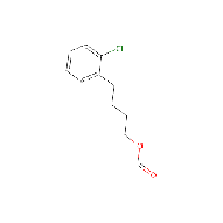 O=COCCCCc1ccccc1Cl